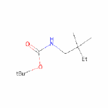 CCC(C)(C)CNC(=O)OC(C)(C)C